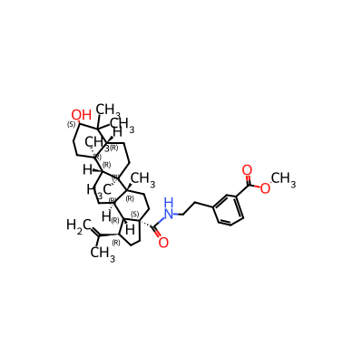 C=C(C)[C@@H]1CC[C@]2(C(=O)NCCc3cccc(C(=O)OC)c3)CC[C@]3(C)[C@H](CC[C@@H]4[C@@]5(C)CC[C@H](O)C(C)(C)[C@@H]5CC[C@]43C)[C@@H]12